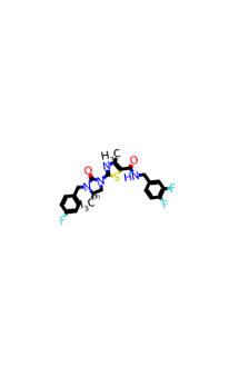 Cc1nc(N2C[C@@H](C)N(Cc3ccc(F)cc3)C2=O)sc1C(=O)NCc1ccc(F)c(F)c1